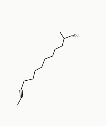 [CH2]C#CCCCCCCCCC(C)CCCCCCC[CH2]